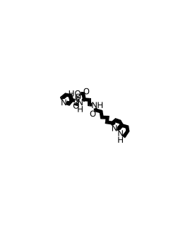 O=C(CCCCc1ccc2c(n1)NCCC2)NCCC(NS(=O)(=O)c1cccnc1)C(=O)O